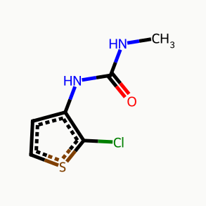 CNC(=O)Nc1ccsc1Cl